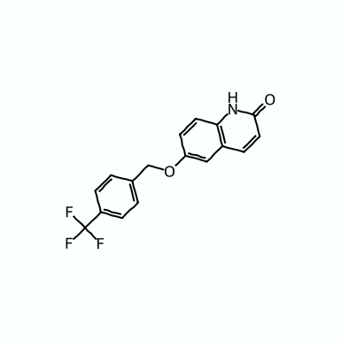 O=c1ccc2cc(OCc3ccc(C(F)(F)F)cc3)ccc2[nH]1